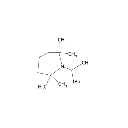 CC(N1C(C)(C)CCCC1(C)C)C(C)(C)C